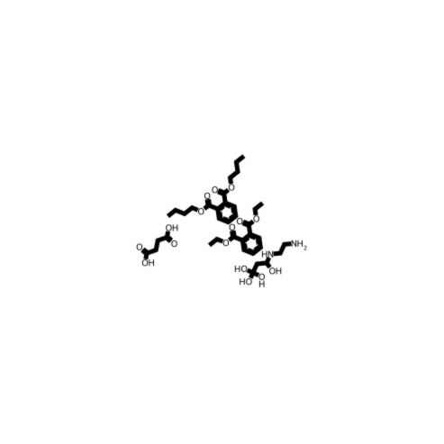 CCCCOC(=O)c1ccccc1C(=O)OCCCC.CCOC(=O)c1ccccc1C(=O)OCC.NCCNC(O)CC(O)(O)O.O=C(O)CCC(=O)O